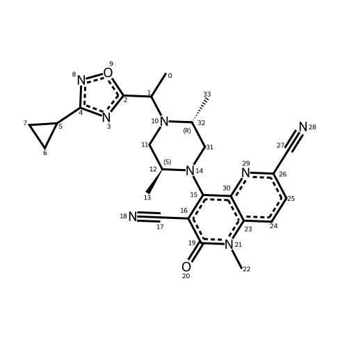 CC(c1nc(C2CC2)no1)N1C[C@H](C)N(c2c(C#N)c(=O)n(C)c3ccc(C#N)nc23)C[C@H]1C